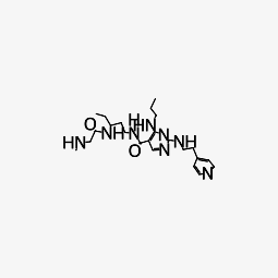 CCCNc1nc(NCCc2ccncc2)ncc1C(=O)NCCC(CC)NC(=O)CNC